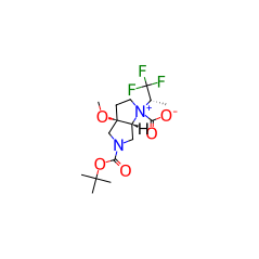 CO[C@@]12CC[N+](C(=O)[O-])([C@@H](C)C(F)(F)F)[C@@H]1CN(C(=O)OC(C)(C)C)C2